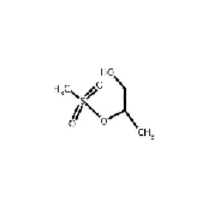 CC(CO)OS(C)(=O)=O